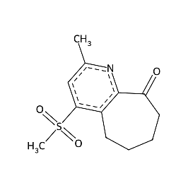 Cc1cc(S(C)(=O)=O)c2c(n1)C(=O)CCCC2